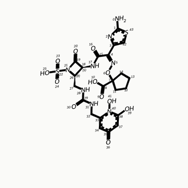 Nc1nc(C(=NOC2(C(=O)O)CCCC2)C(=O)N[C@@H]2C(=O)N(S(=O)(=O)O)[C@@H]2CNC(=O)NCc2cc(=O)cc(O)n2O)cs1